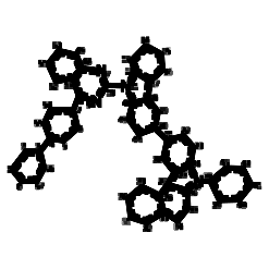 c1ccc(-c2ccc(-c3nc(-n4c5ccccc5c5cc(-c6ccc7c(c6)c6c8ccccc8ccc6n7-c6ccccc6)ccc54)nc4ccccc34)cc2)cc1